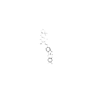 O=C1S/C(=C\c2ccc3c(cnn3Cc3ccc(Cl)cc3C(F)(F)F)c2)C(=O)N1C[C@H]1CN2CCC[C@H]2CO1